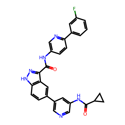 O=C(Nc1ccc(-c2cccc(F)c2)nc1)c1n[nH]c2ccc(-c3cncc(NC(=O)C4CC4)c3)cc12